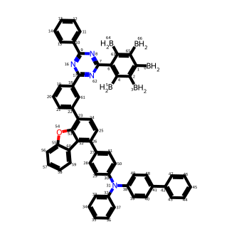 Bc1c(B)c(B)c(-c2nc(-c3ccccc3)nc(-c3cccc(-c4ccc(-c5ccc(N(c6ccccc6)c6ccc(-c7ccccc7)cc6)cc5)c5c4oc4ccccc45)c3)n2)c(B)c1B